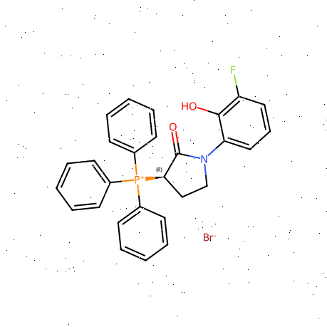 O=C1[C@H]([P+](c2ccccc2)(c2ccccc2)c2ccccc2)CCN1c1cccc(F)c1O.[Br-]